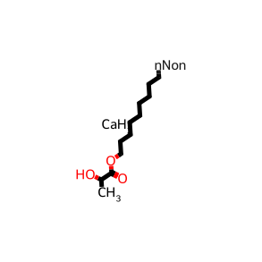 CCCCCCCCCCCCCCCCCCOC(=O)C(C)O.[CaH2]